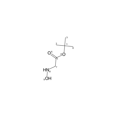 CC(C)(C)OC(=O)CNO